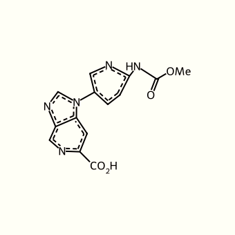 COC(=O)Nc1ccc(-n2cnc3cnc(C(=O)O)cc32)cn1